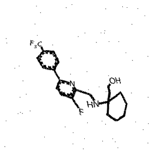 OCC1(NCc2nc(-c3ccc(C(F)(F)F)cc3)ccc2F)CCCCC1